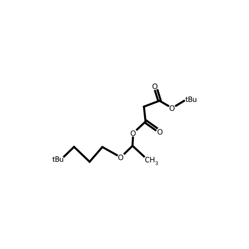 CC(OCCCC(C)(C)C)OC(=O)CC(=O)OC(C)(C)C